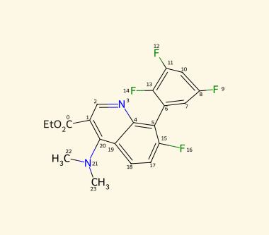 CCOC(=O)c1cnc2c(-c3cc(F)cc(F)c3F)c(F)ccc2c1N(C)C